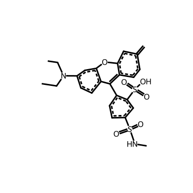 C=c1ccc2c(c1)Oc1cc(N(CC)CC)ccc1C=2c1ccc(S(=O)(=O)NC)cc1S(=O)(=O)O